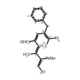 CC/C=C(NC)/C(C)=C/C(C=O)=C\C(Cc1ccccc1)=C(/C)CC